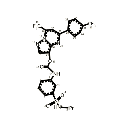 CC(C)NS(=O)(=O)c1cccc(NC(=O)Oc2cnn3c(C(F)(F)F)cc(-c4ccc(C(F)(F)F)cc4)nc23)c1